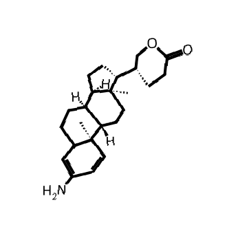 C[C@]12CC[C@H]3[C@@H](CCC4C=C(N)C=C[C@@]43C)[C@H]1CC[C@@H]2[C@H]1CCC(=O)OC1